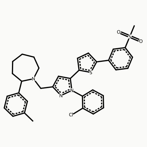 Cc1cccc(C2CCCCCN2Cc2cc(-c3ccc(-c4cccc(S(C)(=O)=O)c4)s3)n(-c3ccccc3Cl)n2)c1